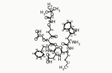 CSCC[C@H](NC(=O)[C@@H](N)Cc1c[nH]c2ccccc12)C(=O)N[C@@H](CC(=O)O)C(=O)N[C@@H](Cc1ccccc1)C(=O)N(OCC(=O)O)C(=O)CCONC(=O)OC(C)(C)C